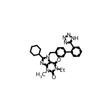 CCn1c(=O)c2c(nc(C3CCCCC3)n2Cc2ccc(-c3ccccc3-c3nnn[nH]3)cc2)n(C)c1=O